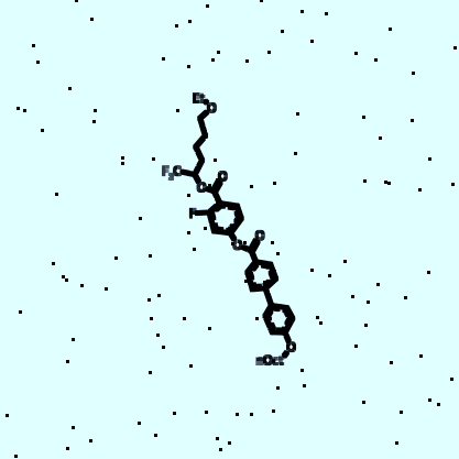 CCCCCCCCOc1ccc(-c2ccc(C(=O)Oc3ccc(C(=O)OC(CCCCOCC)C(F)(F)F)c(F)c3)cc2)cc1